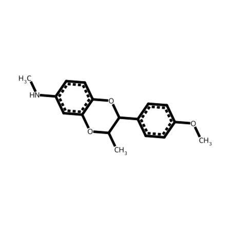 CNc1ccc2c(c1)OC(C)C(c1ccc(OC)cc1)O2